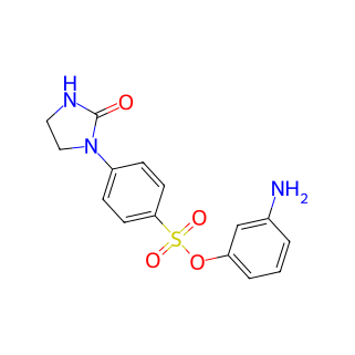 Nc1cccc(OS(=O)(=O)c2ccc(N3CCNC3=O)cc2)c1